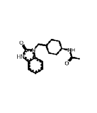 CC(=O)NC1CCC(Cn2c(=O)[nH]c3ccccc32)CC1